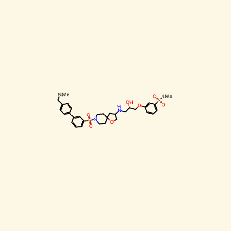 CNCc1ccc(-c2cccc(S(=O)(=O)N3CCC4(CC3)CC(NC[C@H](O)COc3cccc(S(=O)(=O)NC)c3)CO4)c2)cc1